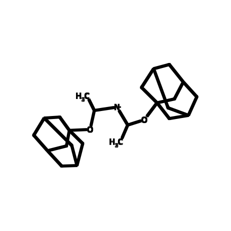 CC([N]C(C)OC12CC3CC(CC(C3)C1)C2)OC12CC3CC(CC(C3)C1)C2